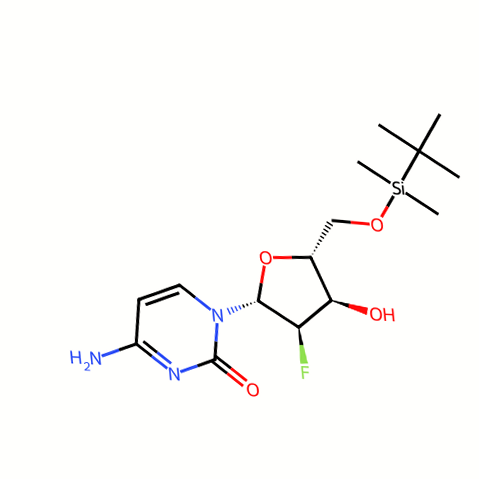 CC(C)(C)[Si](C)(C)OC[C@H]1O[C@@H](n2ccc(N)nc2=O)[C@H](F)[C@@H]1O